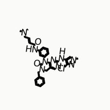 CN(C)CC=CC(=O)Nc1cccc(N2C(=O)N(Cc3ccccc3)Cc3cnc(Nc4cn(C)nc4Cl)nc32)c1